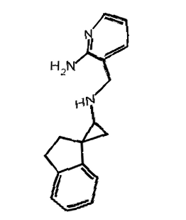 Nc1ncccc1CNC1CC12CCc1ccccc12